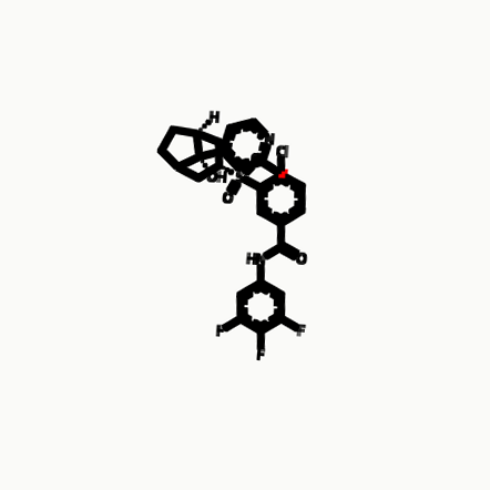 Cc1cc([C@@]2(O)C3CC[C@H]2C[C@H](S(=O)(=O)c2cc(C(=O)Nc4cc(F)c(F)c(F)c4)ccc2Cl)C3)ccn1